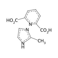 Cc1ncc[nH]1.O=C(O)c1cccc(C(=O)O)n1